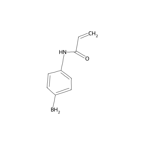 Bc1ccc(NC(=O)C=C)cc1